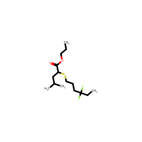 CCCOC(=O)C(CC(C)C)SCCCC(F)(F)CC